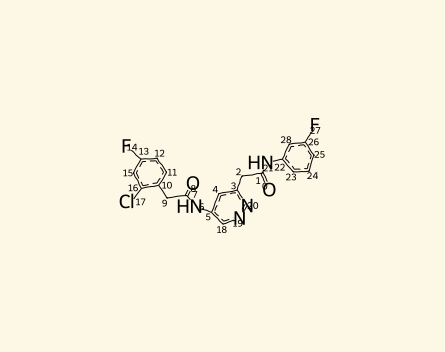 O=C(Cc1cc(NC(=O)Cc2ccc(F)cc2Cl)cnn1)Nc1cccc(F)c1